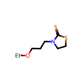 CCOCCCN1CCSC1=S